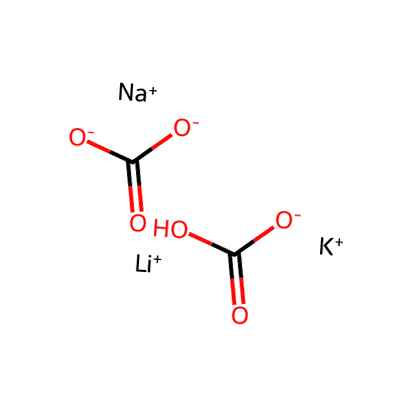 O=C([O-])O.O=C([O-])[O-].[K+].[Li+].[Na+]